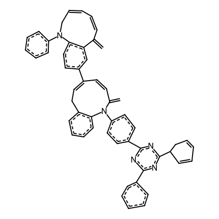 C=C1/C=C\C=C/CN(c2ccccc2)c2ccc(C3=C/Cc4ccccc4N(c4ccc(-c5nc(-c6ccccc6)nc(C6C=CC=CC6)n5)cc4)C(=C)/C=C\3)cc21